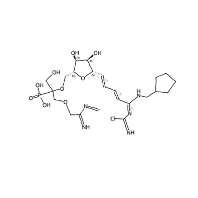 C=NC(=N)COCC(CO)(OC[C@H]1O[C@@H](/C=C/C=C/C(=N\C(=N)Cl)NCC2CCCC2)[C@H](O)[C@@H]1O)P(=O)(O)O